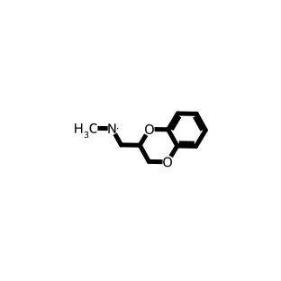 C[N]CC1COc2ccccc2O1